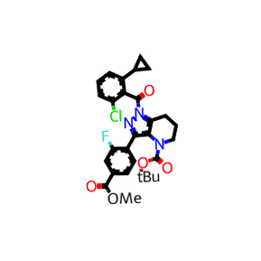 COC(=O)c1ccc(-c2nn(C(=O)c3c(Cl)cccc3C3CC3)c3c2N(C(=O)OC(C)(C)C)CCC3)c(F)c1